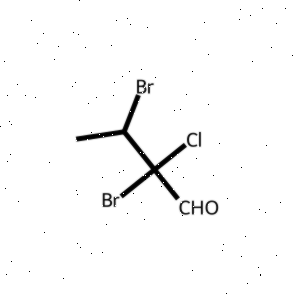 CC(Br)C(Cl)(Br)C=O